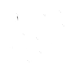 CCc1[nH]c2nc(Sc3cnc4nccnc4c3)nc(N3CC[C@@H](N)C3)c2c1Cl